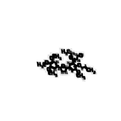 C=CCOc1c(OC)cc(C2CCC(c3cc(OC)c(OC)c(OC)c3)O2)cc1N(CC=O)OCC